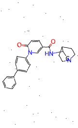 O=C(NC1CN2CCC1CC2)c1ccc(=O)n(-c2ccc(-c3ccccc3)cc2)c1